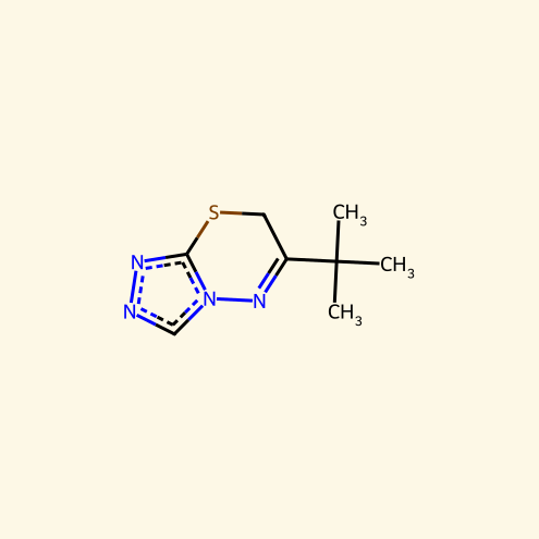 CC(C)(C)C1=Nn2cnnc2SC1